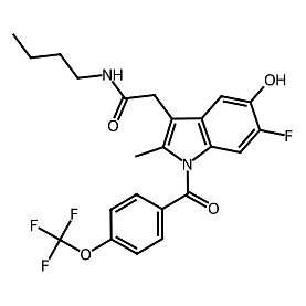 CCCCNC(=O)Cc1c(C)n(C(=O)c2ccc(OC(F)(F)F)cc2)c2cc(F)c(O)cc12